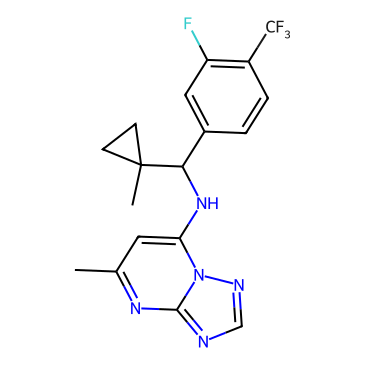 Cc1cc(NC(c2ccc(C(F)(F)F)c(F)c2)C2(C)CC2)n2ncnc2n1